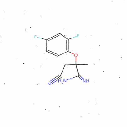 CC(CC#N)(Oc1ccc(F)cc1F)C(=N)N